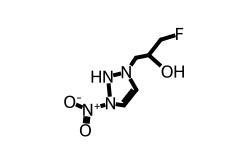 O=[N+]([O-])N1C=CN(CC(O)CF)N1